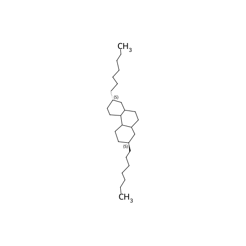 CCCCCCC[C@H]1CCC2C(CCC3C[C@@H](CCCCCCC)CCC32)C1